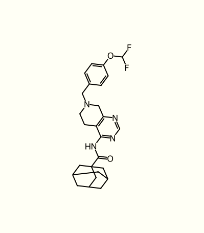 O=C(Nc1ncnc2c1CCN(Cc1ccc(OC(F)F)cc1)C2)C12CC3CC(CC(C3)C1)C2